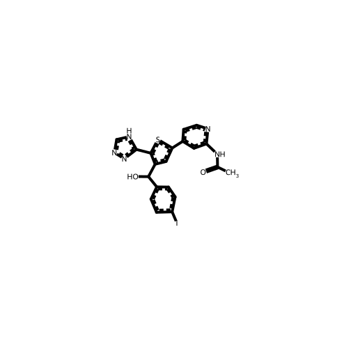 CC(=O)Nc1cc(-c2cc(C(O)c3ccc(I)cc3)c(-c3nnc[nH]3)s2)ccn1